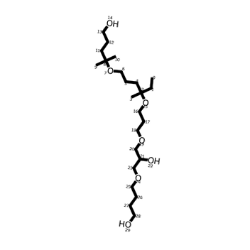 CCC(C)(CCCOC(C)(C)CCCO)OCCCOCC(O)COCCCCO